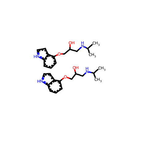 CC(C)NCC(O)COc1cccc2[nH]ccc12.CC(C)NCC(O)COc1cccc2[nH]ccc12